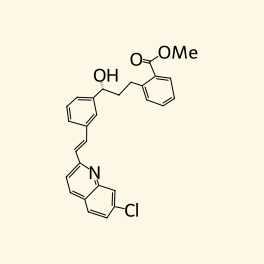 COC(=O)c1ccccc1CC[C@@H](O)c1cccc(C=Cc2ccc3ccc(Cl)cc3n2)c1